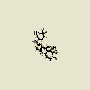 C[C@H]1CCc2c(-c3nc(N[C@H]4CCC(C)(C)NC4)ncc3C(F)(F)F)c[nH]c2C(=O)N1C